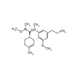 CCCc1cc(OC)c([C@@H]2C=C(C)CC[C@H]2C(=O)N(C)OC)c(OC)c1